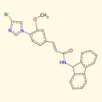 COc1cc(/C=C/C(=O)NC2c3ccccc3-c3ccccc32)ccc1-n1cnc(Br)c1